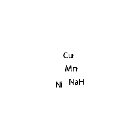 [Cu].[Mn].[NaH].[Ni]